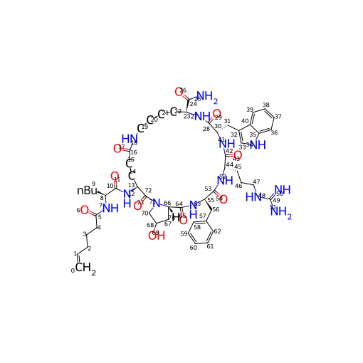 C=CCCCC(=O)N[C@@H](CCCC)C(=O)N[C@H]1CCC(=O)NCCCC[C@@H](C(N)=O)NC(=O)[C@H](Cc2c[nH]c3ccccc23)NC(=O)[C@H](CCCNC(=N)N)NC(=O)[C@@H](Cc2ccccc2)NC(=O)[C@@H]2CC(O)CN2C1=O